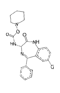 O=C(NC1N=C(c2ccccc2)c2cc(Cl)ccc2NC1=O)ON1CCCCC1